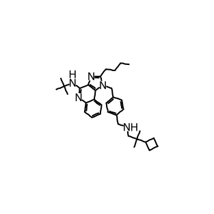 CCCCc1nc2c(NC(C)(C)C)nc3ccccc3c2n1Cc1ccc(CNCC(C)(C)C2CCC2)cc1